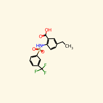 CCc1ccc(NS(=O)(=O)c2cccc(C(F)(F)F)c2)c(C(=O)O)c1